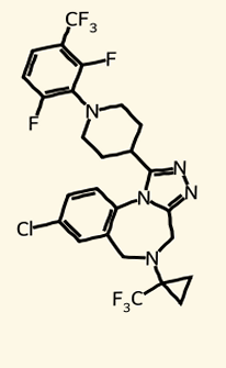 Fc1ccc(C(F)(F)F)c(F)c1N1CCC(c2nnc3n2-c2ccc(Cl)cc2CN(C2(C(F)(F)F)CC2)C3)CC1